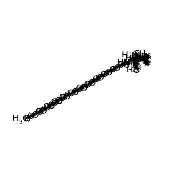 COCCOCCOCCOCCOCCOCCOCCOCCOCCOCCOCCOCCOCCOCCOCCOCCOCCOCCOCCOCCOCCOCCOCCOCCC(=O)NCCCC[C@H](NC(=O)[C@@H](NC(=O)OCC1c2ccccc2-c2ccccc21)C(C)C)C(=O)Nc1ccc(CO)cc1